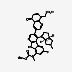 CCOC(=O)Cn1ccc(=O)c2cc(-c3cnc4[nH]c5c(N(C)C(=O)OC(C)(C)C)cc(F)cc5c4c3N3CC[C@H]4CN(C)C[C@H]43)cnc21